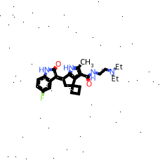 CCN(CC)CCNC(=O)c1c(C)[nH]c2c1C1(CCC1)C/C2=C1/C(=O)Nc2ccc(F)cc21